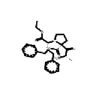 CCOC(=O)[C@@H](CCc1ccccc1)N1CCC[C@@]1(C(=O)OCc1ccccc1)C(=O)[C@H](C)N